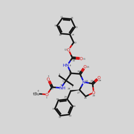 CC(C)(C)OC(=O)NC(C)(C)C(NC(=O)OCc1ccccc1)C(=O)N1C(=O)OC[C@H]1Cc1ccccc1